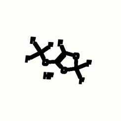 F.FC1=C(OC(F)(F)F)OC(F)(F)O1